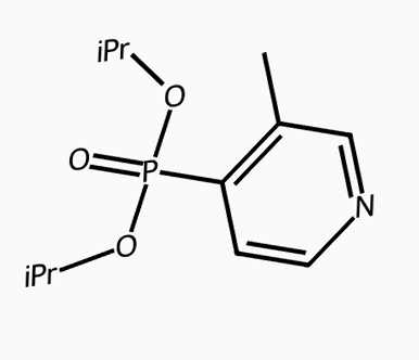 Cc1cnccc1P(=O)(OC(C)C)OC(C)C